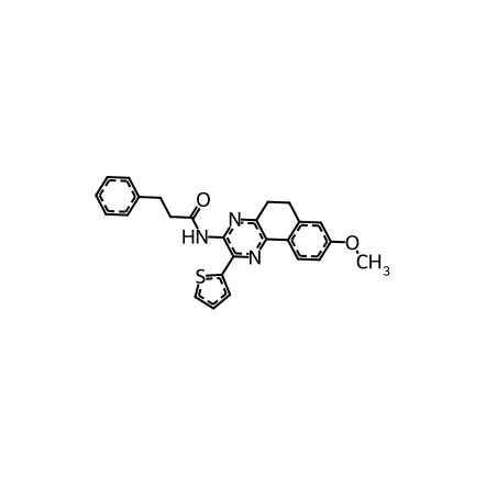 COc1ccc2c(c1)CCc1nc(NC(=O)CCc3ccccc3)c(-c3cccs3)nc1-2